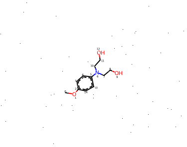 COc1ccc(N(CCO)CCO)cc1